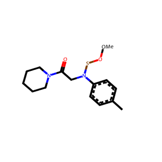 COOSN(CC(=O)N1CCCCC1)c1ccc(C)cc1